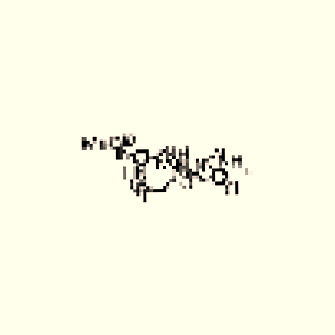 COC(=O)Nc1ccc2c(c1)NC(=O)C(F)(F)C/C=C/C[C@H](NC(=O)/C=C/c1cc(Cl)ccc1N(N)/C=N\N)c1nc-2c[nH]1